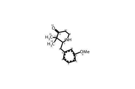 COc1cccc(CC2NCCC(=O)C2(C)C)c1